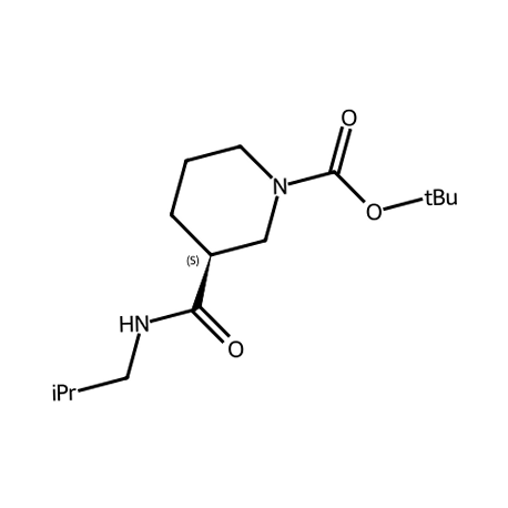 CC(C)CNC(=O)[C@H]1CCCN(C(=O)OC(C)(C)C)C1